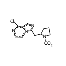 O=C(O)N1CCCC1Cc1ncc2c(Cl)nccn12